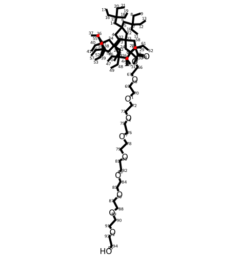 CCCCCC(CC(CC)(CC)CC)(CC(CC)(CC)CC)CC(CC(CC)(CC)CC)(CC(CC(CC)(CC)CC)(CC(CC)(CC)CC)CC(CC)(CC)CC)CC(C)(CC)C(=O)OCCOCCOCCOCCOCCOCCOCCOCCOCCOCCO